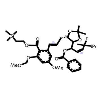 COCOc1cc(OC)cc(/C=C/C[C@@H]2OC(C)(C)OC2C(/C=C\C(C)(F)C(C)C)OC(=O)c2ccccc2)c1C(=O)OCC[Si](C)(C)C